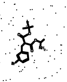 CC(N)OC(=O)C(Cc1cccc(Br)c1)C(=O)OC(C)(C)C